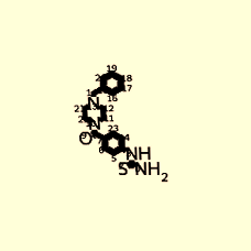 NC(=S)Nc1ccc(C(=O)N2CCN(Cc3ccccc3)CC2)cc1